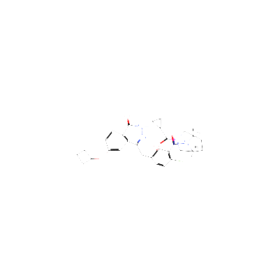 O=C(C1CC1)N1C[C@H]2CC[C@@H](C1)N2C(=O)c1cc(Cc2n[nH]c(=O)c3ccc(OC4CCC4)cc23)ccc1F